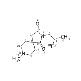 CC([18F])CN1C(=O)CC2(CCN(C)CC2)C1=O